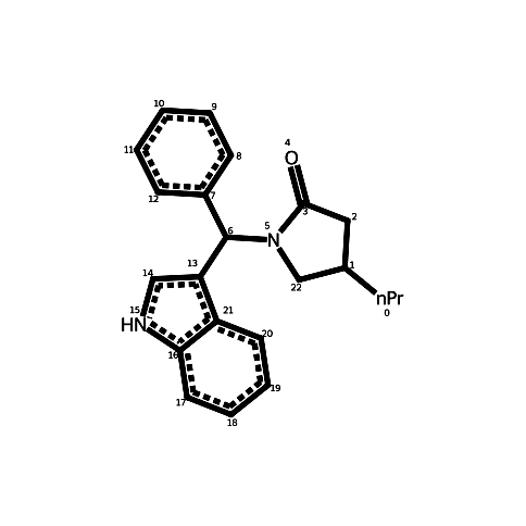 CCCC1CC(=O)N(C(c2ccccc2)c2c[nH]c3ccccc23)C1